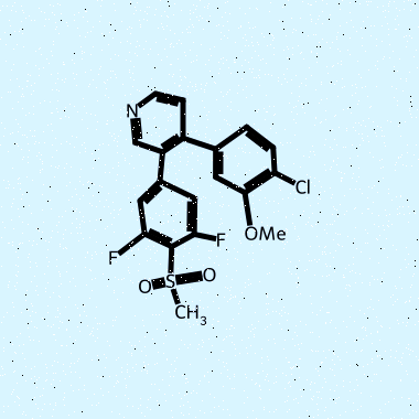 COc1cc(-c2ccncc2-c2cc(F)c(S(C)(=O)=O)c(F)c2)ccc1Cl